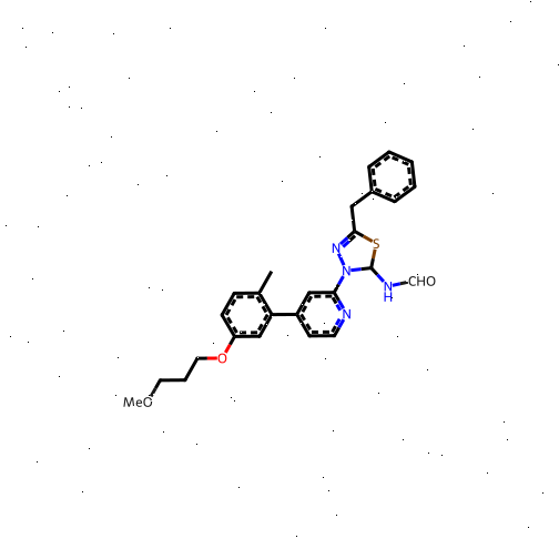 COCCCOc1ccc(C)c(-c2ccnc(N3N=C(Cc4ccccc4)SC3NC=O)c2)c1